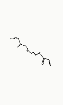 C=CC(=O)OCCNCC(C)CCCC